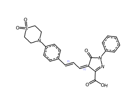 O=C(O)C1=NN(c2ccccc2)C(=O)/C1=C\C=C\c1ccc(N2CCS(=O)(=O)CC2)cc1